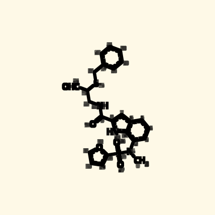 CN(c1cccc2cc(C(=O)NCC(C=O)SCc3ccccc3)[nH]c12)S(=O)(=O)c1ccco1